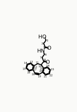 O=C(CCO)NCCC(=O)C1Cc2ccccc2C#Cc2ccccc21